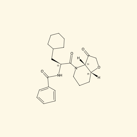 O=C(N[C@@H](CC1CCCCC1)C(=O)N1CCC[C@H]2OCC(=O)[C@H]21)c1ccccc1